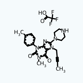 CC#CCn1c(N2CCNCC2)nc2c1c(=O)n(C)c(=O)n2-c1ccc(C)cc1.O=C(O)C(F)(F)F